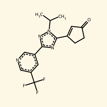 CC(C)n1nc(-c2cncc(C(F)(F)F)c2)nc1C1=CC(=O)CC1